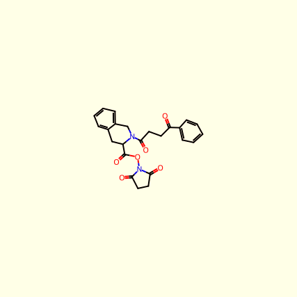 O=C(CCC(=O)N1Cc2ccccc2CC1C(=O)ON1C(=O)CCC1=O)c1ccccc1